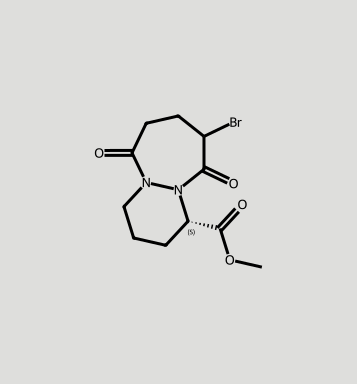 COC(=O)[C@@H]1CCCN2C(=O)CCC(Br)C(=O)N12